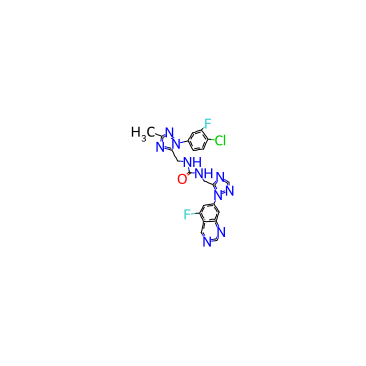 Cc1nc(CNC(=O)NCc2ncnn2-c2cc(F)c3cncnc3c2)n(-c2ccc(Cl)c(F)c2)n1